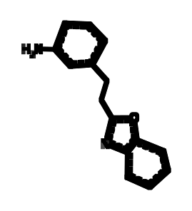 Nc1cccc(CCc2nc3ccccc3o2)c1